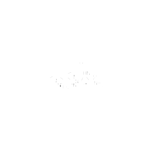 Cc1nn(-c2ccc(C(N)=O)c(NC3CCOCC3)c2)c2cccc(-c3cnc4c(c3)C=CCC4)c12